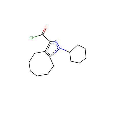 O=C(Cl)c1nn(C2CCCCC2)c2c1CCCCCC2